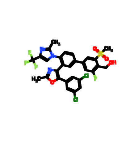 Cc1nc(-c2cc(-c3cc(F)c(CO)c(S(C)(=O)=O)c3)ccc2-n2cc(C(F)(F)F)nc2C)c(-c2cc(Cl)cc(Cl)c2)o1